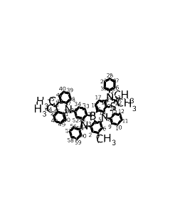 Cc1cc2c3c(c1)N(c1ccccc1)c1c(ccc4c1SC(C)(C)N4c1ccccc1)B3c1ccc(N3c4ccccc4C(C)(C)c4ccccc43)cc1N2c1ccccc1